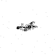 Br.CC(C)CC(=O)Oc1ccc(C(O)CNCCNC(=O)Cc2ccccc2)c(Cl)c1OC(=O)CC(C)C